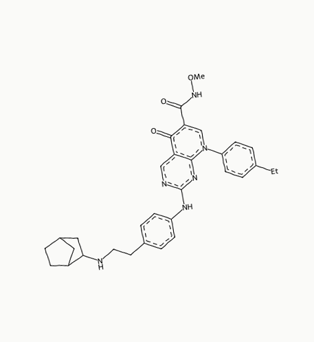 CCc1ccc(-n2cc(C(=O)NOC)c(=O)c3cnc(Nc4ccc(CCNC5CC6CCC5C6)cc4)nc32)cc1